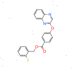 O=C(OCc1ccccc1F)c1ccc(Oc2cnc3ccccc3n2)cc1